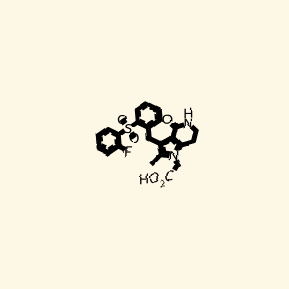 Cc1c(Cc2ccccc2S(=O)(=O)c2ccccc2F)c2c(n1CC(=O)O)CCNC2=O